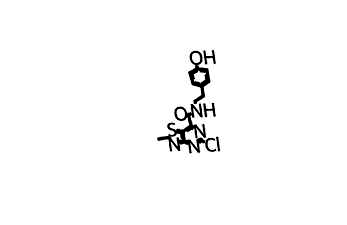 Cc1nc2nc(Cl)nc(C(=O)NCCc3ccc(O)cc3)c2s1